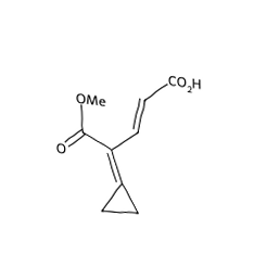 COC(=O)C(C=CC(=O)O)=C1CC1